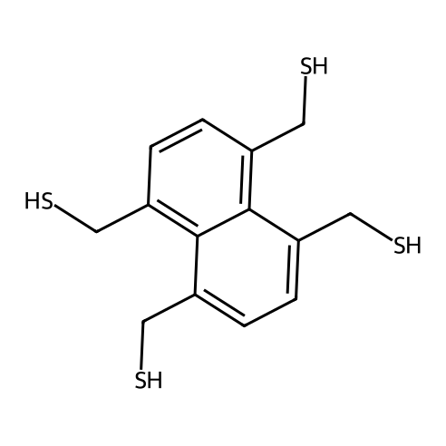 SCc1ccc(CS)c2c(CS)ccc(CS)c12